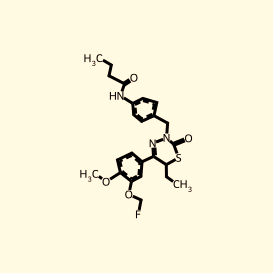 CCCC(=O)Nc1ccc(CN2N=C(c3ccc(OC)c(OCF)c3)C(CC)SC2=O)cc1